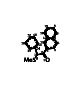 CSC(C(=O)c1ccc2ccccc2c1)c1ccccc1